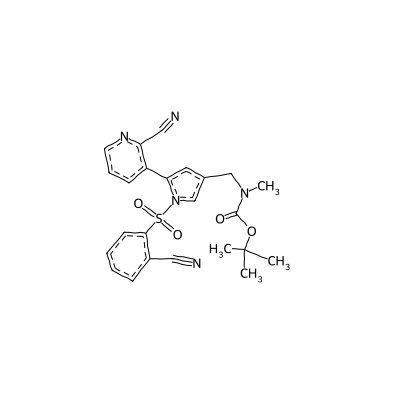 CN(Cc1cc(-c2cccnc2C#N)n(S(=O)(=O)c2ccccc2C#N)c1)C(=O)OC(C)(C)C